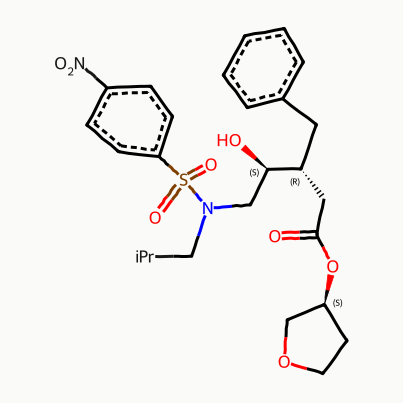 CC(C)CN(C[C@@H](O)[C@@H](CC(=O)O[C@H]1CCOC1)Cc1ccccc1)S(=O)(=O)c1ccc([N+](=O)[O-])cc1